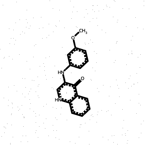 COc1cccc(Nc2c[nH]c3ccccc3c2=O)c1